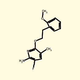 COc1ccccc1CCOc1nc(N)c(F)cc1C